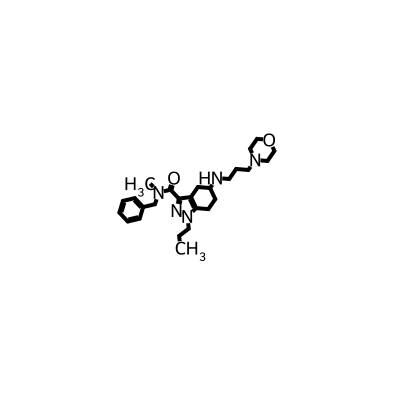 CCCn1nc(C(=O)N(C)Cc2ccccc2)c2c1CCC(NCCCN1CCOCC1)C2